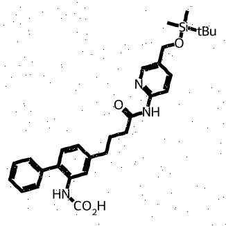 CC(C)(C)[Si](C)(C)OCc1ccc(NC(=O)CCCc2ccc(-c3ccccc3)c(NC(=O)O)c2)nc1